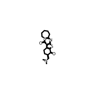 CN(C)C=C1CCc2c(sc3nc4n(c(=O)c23)CCCCC4)C1=O